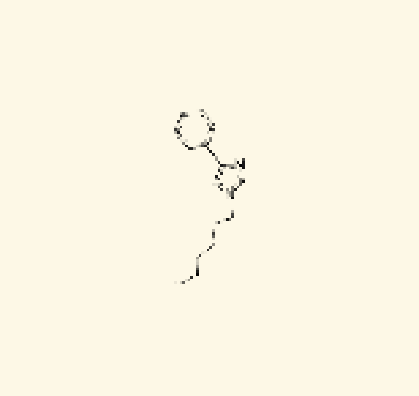 [CH2]CCCCCn1cnc(-c2ccccc2)c1